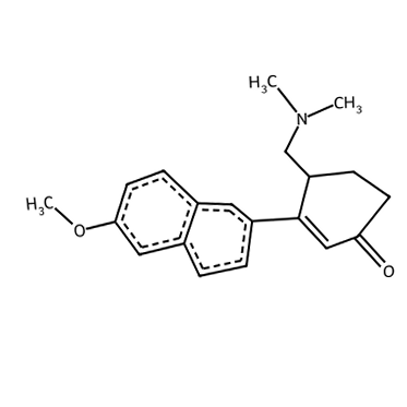 COc1ccc2cc(C3=CC(=O)CCC3CN(C)C)ccc2c1